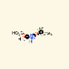 CCc1cc(OC)c(F)c(COc2cnc(Nc3ccc(OCC(=O)O)c(C)c3)nc2)c1F